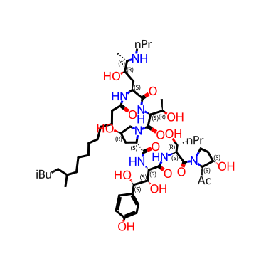 CCCN[C@@H](C)[C@H](O)C[C@H](NC(=O)CCCCCCCCC(C)CC(C)CC)C(=O)N[C@H](C(=O)N1C[C@H](O)C[C@H]1C(=O)N[C@H](C(=O)N[C@H](C(=O)N1CC[C@H](O)[C@H]1C(C)=O)[C@H](O)CCC)[C@H](O)[C@@H](O)c1ccc(O)cc1)[C@@H](C)O